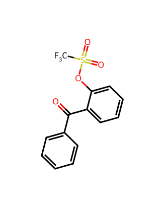 O=C(c1ccccc1)c1ccccc1OS(=O)(=O)C(F)(F)F